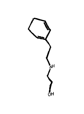 OCCNCCC1=CC[CH]C=C1